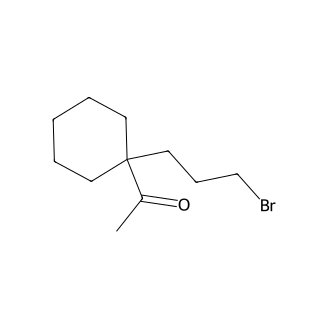 CC(=O)C1(CCCBr)CCCCC1